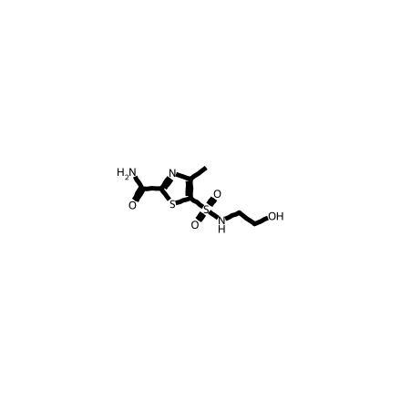 Cc1nc(C(N)=O)sc1S(=O)(=O)NCCO